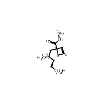 C[C@H](CCC(=O)O)CC1(C(=O)OC(C)(C)C)C=CC1